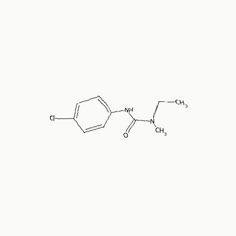 CCN(C)C(=O)Nc1ccc(Cl)cc1